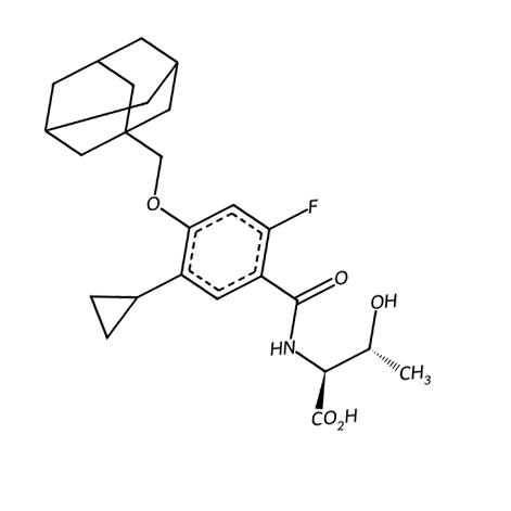 C[C@@H](O)[C@H](NC(=O)c1cc(C2CC2)c(OCC23CC4CC(CC(C4)C2)C3)cc1F)C(=O)O